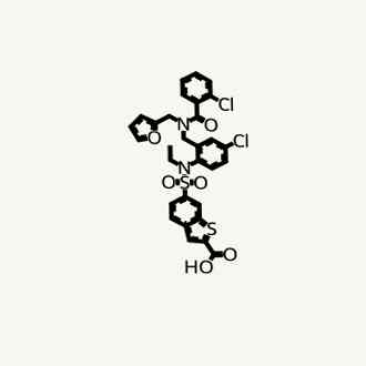 CCN(c1ccc(Cl)cc1CN(Cc1ccco1)C(=O)c1ccccc1Cl)S(=O)(=O)c1ccc2cc(C(=O)O)sc2c1